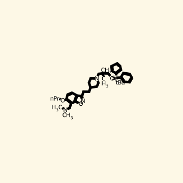 CCCOc1ccc2c(CCC3CCN(CC(C)(C)CO[Si](c4ccccc4)(c4ccccc4)C(C)(C)C)CC3)noc2c1CN(C)C